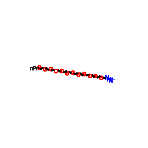 CCCOCCOCCOCCOCCOCCOCCOCCOCCOCCOCCOCCOCCN=[N+]=[N-]